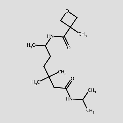 CC(C)NC(=O)CC(C)(C)CCC(C)NC(=O)C1(C)COC1